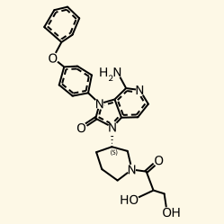 Nc1nccc2c1n(-c1ccc(Oc3ccccc3)cc1)c(=O)n2[C@H]1CCCN(C(=O)C(O)CO)C1